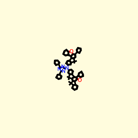 CC1(C)c2cc(N(c3ccc4c(c3)C(C)(C)c3c5c(c6oc7ccccc7c6c3-4)-c3ccccc3C5(C)C)c3nc(-c4ccccc4)nc(-c4ccccc4)n3)ccc2-c2c1cc(-c1ccccc1)c1oc3ccccc3c21